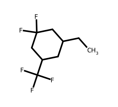 CCC1CC(C(F)(F)F)CC(F)(F)C1